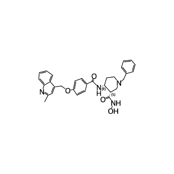 Cc1cc(COc2ccc(C(=O)N[C@@H]3CCN(Cc4ccccc4)C[C@@H]3C(=O)NO)cc2)c2ccccc2n1